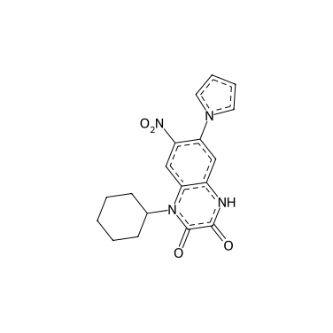 O=c1[nH]c2cc(-n3cccc3)c([N+](=O)[O-])cc2n(C2CCCCC2)c1=O